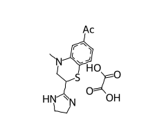 CC(=O)c1ccc2c(c1)N(C)CC(C1=NCCN1)S2.O=C(O)C(=O)O